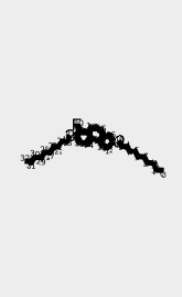 CCCCCCCCCCOc1ccc2c(ccc3c(F)c(OCCCCCCCCCC)ccc32)c1